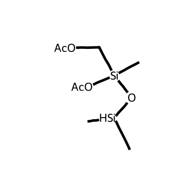 CC(=O)OC[Si](C)(OC(C)=O)O[SiH](C)C